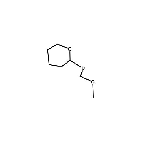 COCOC1CCCCO1